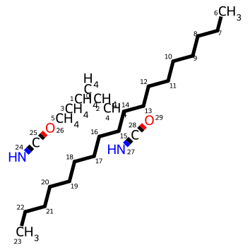 C.C.C.C.C.C.CCCCCCCCCCCCCCCCCC.N=C=O.N=C=O